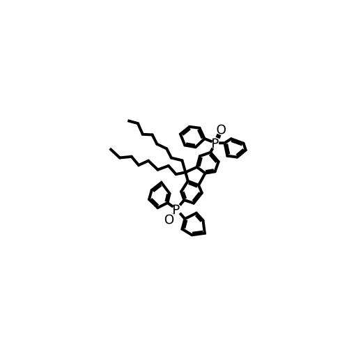 CCCCCCCCC1(CCCCCCCC)c2cc(P(=O)(c3ccccc3)c3ccccc3)ccc2-c2ccc(P(=O)(c3ccccc3)c3ccccc3)cc21